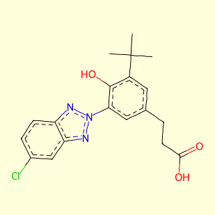 CC(C)(C)c1cc(CCC(=O)O)cc(-n2nc3ccc(Cl)cc3n2)c1O